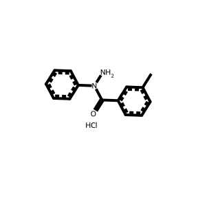 Cc1cccc(C(=O)N(N)c2ccccc2)c1.Cl